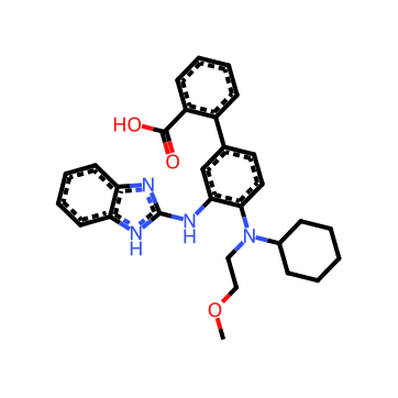 COCCN(c1ccc(-c2ccccc2C(=O)O)cc1Nc1nc2ccccc2[nH]1)C1CCCCC1